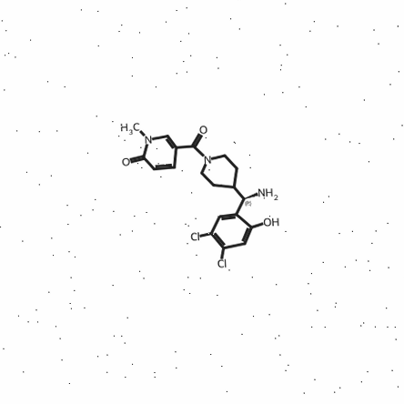 Cn1cc(C(=O)N2CCC([C@@H](N)c3cc(Cl)c(Cl)cc3O)CC2)ccc1=O